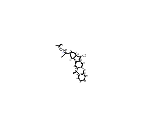 C=C(C)O/N=C(\C)c1ccc2c(c1)c1cc(C(=C)c3ccccc3C)ccc1n2CC